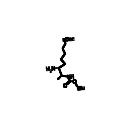 CCCCCCCCCCCCCCC[C@@H](N)[C@H](C)NC(=O)OC(C)(C)C